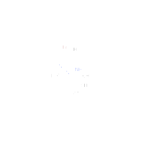 [2H]c1cc2c(NC(C)c3cccc(C(F)(F)F)c3C)nc(C)nc2cc1Br